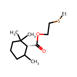 CCSCCOC(=O)[C@@H]1C(C)CCCC1(C)C